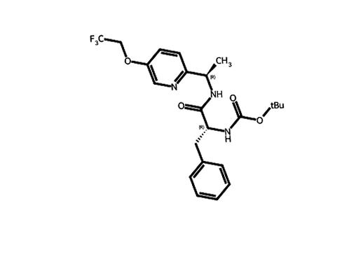 C[C@@H](NC(=O)[C@@H](Cc1ccccc1)NC(=O)OC(C)(C)C)c1ccc(OCC(F)(F)F)cn1